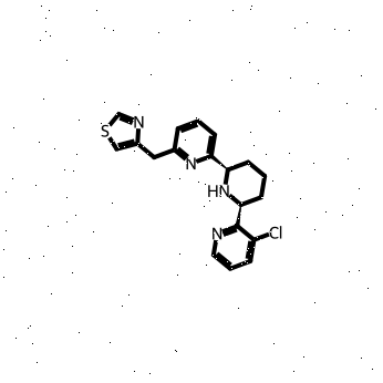 Clc1cccnc1[C@@H]1CCC[C@H](c2cccc(Cc3cscn3)n2)N1